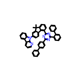 CC1(C)c2cc(-n3c4ccccc4c4cccnc43)ccc2-c2c(-c3nc(-c4ccc(-c5ccccc5)cc4)nc(-c4ccccc4-c4ccccc4)n3)cccc21